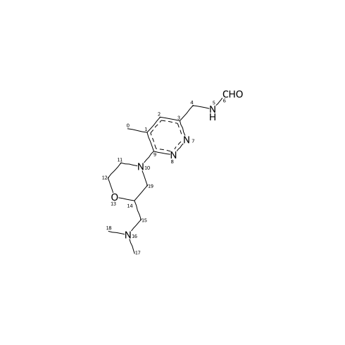 Cc1cc(CNC=O)nnc1N1CCOC(CN(C)C)C1